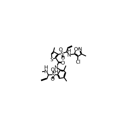 C=CC(NC)S(=O)(=O)c1cc(C)cc(C)c1NC(=O)c1scc(C)c1S(=O)(=O)C(C=C)Nc1onc(C)c1Cl